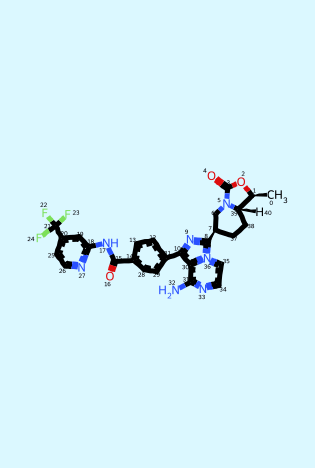 C[C@@H]1OC(=O)N2C[C@H](c3nc(-c4ccc(C(=O)Nc5cc(C(F)(F)F)ccn5)cc4)c4c(N)nccn34)CC[C@@H]12